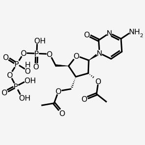 CC(=O)OC[C@H]1[C@@H](OC(C)=O)[C@H](n2ccc(N)nc2=O)O[C@@H]1COP(=O)(O)OP(=O)(O)OP(=O)(O)O